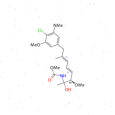 CNc1cc(C/C(C)=C/C=C/[C@@H](OC)C(C)(O)NC(=O)OC)cc(OC)c1Cl